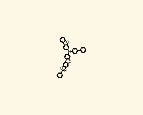 c1ccc(-c2ccc(N(c3ccc4c(c3)oc3ccccc34)c3ccc4c(c3)oc3cc5nc(-c6ccccc6)oc5cc34)cc2)cc1